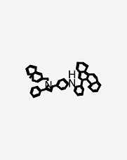 CC12C=CC=CC1=CC(CN1C(c3ccccc3)=CC1c1ccc(Nc3ccccc3C3C=c4ccccc4=C4C=Cc5ccccc5C43)cc1)=CC2